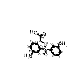 Bc1cccc(S(=O)(=NCC(=O)O)c2cccc(B)c2)c1